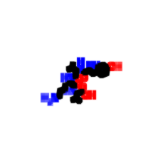 CC(C)[C@H](NC(=O)[C@H](CCCCN)NC(=O)[C@@H](NC(=O)[C@@H](N)Cc1ccc(O)cc1)C(C)C)C(=O)O